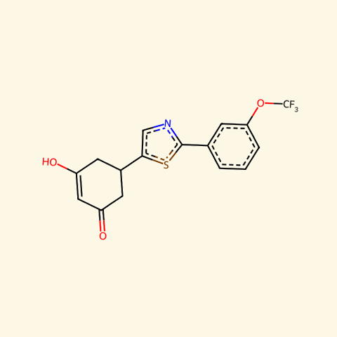 O=C1C=C(O)CC(c2cnc(-c3cccc(OC(F)(F)F)c3)s2)C1